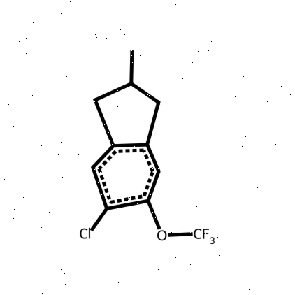 CC1Cc2cc(Cl)c(OC(F)(F)F)cc2C1